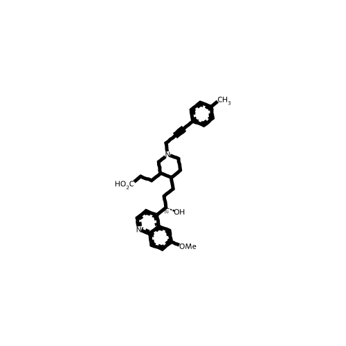 COc1ccc2nccc([C@@H](O)CCC3CCN(CC#Cc4ccc(C)cc4)CC3CCC(=O)O)c2c1